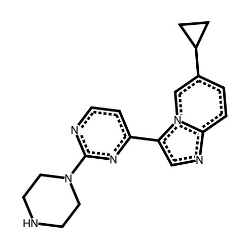 c1cc(-c2cnc3ccc(C4CC4)cn23)nc(N2CCNCC2)n1